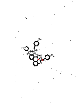 COc1ccc(CNS(=O)(=O)c2c(S(=O)(=O)[C@@H]3CCNC3)ccc(-c3cccc4nc(N)[nH]c34)c2-c2nnn(Cc3ccc(OC)cc3)n2)cc1